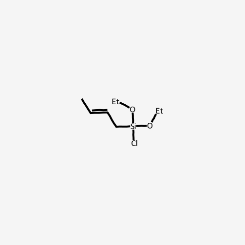 CC=CC[Si](Cl)(OCC)OCC